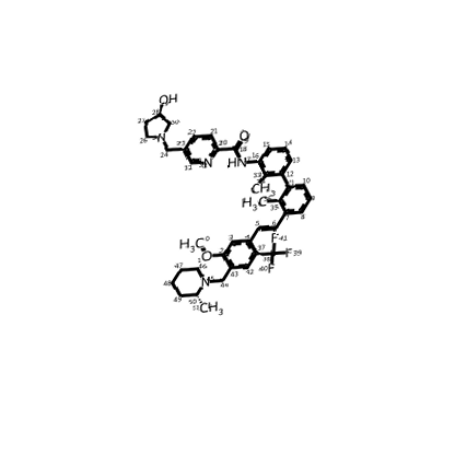 COc1cc(/C=C/c2cccc(-c3cccc(NC(=O)c4ccc(CN5CC[C@@H](O)C5)cn4)c3C)c2C)c(C(F)(F)F)cc1CN1CCCC[C@H]1C